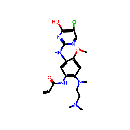 C=CC(=O)Nc1cc(Nc2ncc(Cl)c(O)n2)c(OC)cc1N(C)CCN(C)C